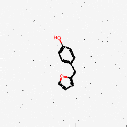 Oc1ccc(Cc2ccco2)cc1